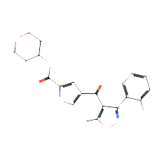 Cc1onc(-c2ccccc2Cl)c1C(=O)c1c[nH]c(C(=O)NC2CCOCC2)c1